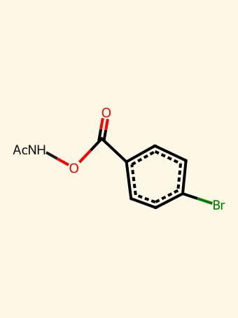 CC(=O)NOC(=O)c1ccc(Br)cc1